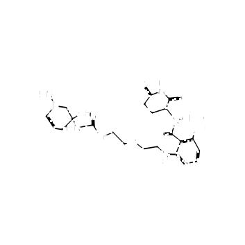 Cc1cccc(NCCOCCOC(=O)NC2(C)CC=CP(N)C2)c1C(=O)N(C=O)C1CCC(=O)NC1=O